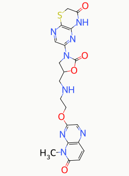 Cn1c(=O)ccc2ncc(OCCNCC3CN(c4cnc5c(n4)NC(=O)CS5)C(=O)O3)nc21